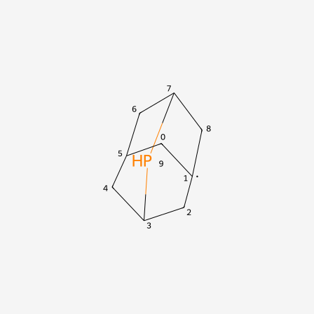 C1[C]2CC3CC1CC(C2)P3